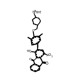 CCCCCC1CCC(COc2c(C)cc(-c3cc([N+](=O)[O-])c4c(c3O)C(=O)c3ccccc3C4=O)cc2C)CC1